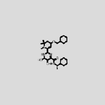 C[C@@H](NC(=O)C1=NC(C2=CC(OCC3CCCCC3)CC(C)(C)N2C)NC(O)C1O)C1CCCCC1